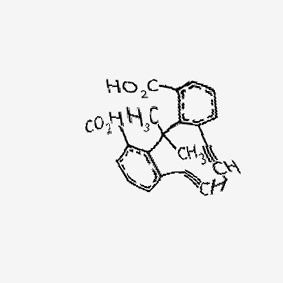 C#Cc1cccc(C(=O)O)c1C(C)(C)c1c(C#C)cccc1C(=O)O